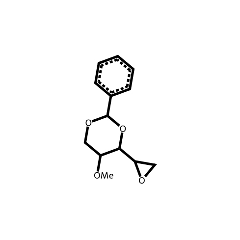 COC1COC(c2ccccc2)OC1C1CO1